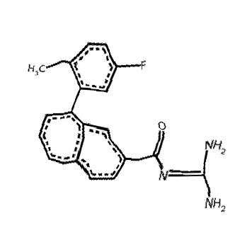 Cc1ccc(F)cc1-c1cccc2ccc(C(=O)N=C(N)N)cc12